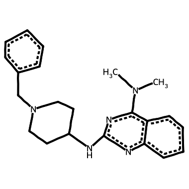 CN(C)c1nc(NC2CCN(Cc3ccccc3)CC2)nc2ccccc12